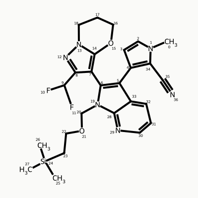 Cn1ccc(-c2c(-c3c(C(F)F)nn4c3OCCC4)n(COCC[Si](C)(C)C)c3ncccc23)c1C#N